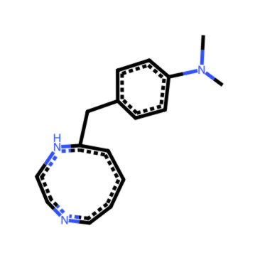 CN(C)c1ccc(Cc2ccccncc[nH]2)cc1